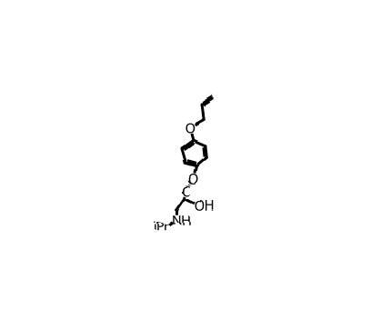 C=CCOc1ccc(OCC(O)CNC(C)C)cc1